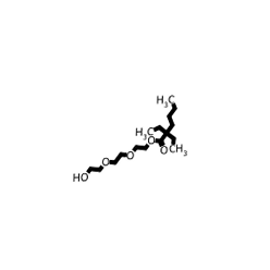 CCCCC(CC)(CC)C(=O)OCCOCCOCCO